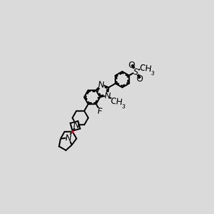 Cn1c(-c2ccc(S(C)(=O)=O)cc2)nc2ccc(C3CCN(C4CC5CCC(C4)N5C4CCC4)CC3)c(F)c21